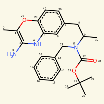 CC1=C(N)Nc2cc(CC(C)N(Cc3ccccc3)C(=O)OC(C)(C)C)ccc2O1